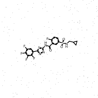 O=C(Nc1nnc(-c2cc(F)c(F)c(F)c2F)s1)c1cc(S(=O)(=O)NCC2CC2)ccc1F